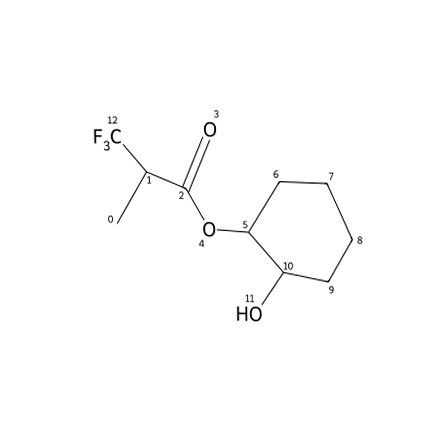 CC(C(=O)OC1CCCCC1O)C(F)(F)F